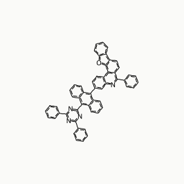 c1ccc(-c2nc(-c3ccccc3)nc(-c3c4ccccc4c(-c4ccc5c(c4)nc(-c4ccccc4)c4ccc6c7ccccc7oc6c45)c4ccccc34)n2)cc1